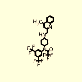 Cc1cc(CNC2CCC(N(C(=O)C(F)(F)F)c3cc(C(F)(F)F)cc(C(F)(F)F)c3)CC2)nc2ccccc12